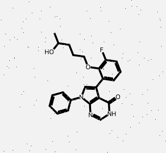 CC(O)CCCOc1c(F)cccc1-c1cn(-c2ccccc2)c2nc[nH]c(=O)c12